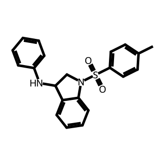 Cc1ccc(S(=O)(=O)N2CC(Nc3ccccc3)c3ccccc32)cc1